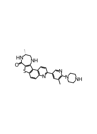 Cc1cc(-c2ccc3c(ccc4sc5c(c43)NC[C@@H](C)NC5=O)n2)cnc1N1CCNCC1